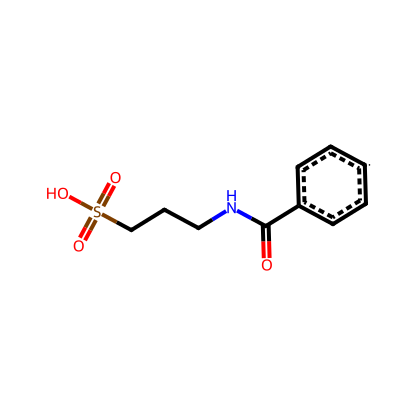 O=C(NCCCS(=O)(=O)O)c1cc[c]cc1